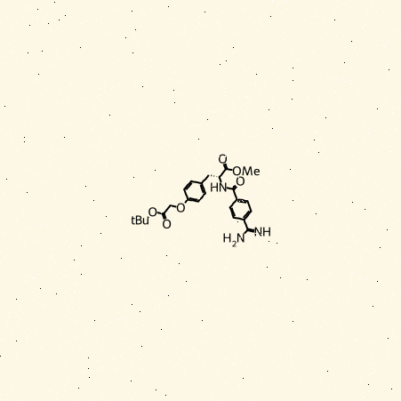 COC(=O)[C@@H](Cc1ccc(OCC(=O)OC(C)(C)C)cc1)NC(=O)c1ccc(C(=N)N)cc1